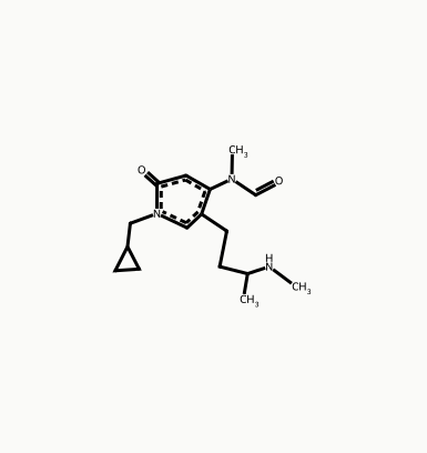 CNC(C)CCc1cn(CC2CC2)c(=O)cc1N(C)C=O